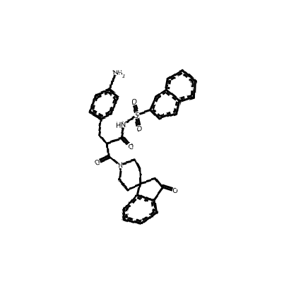 Nc1ccc(CC(C(=O)NS(=O)(=O)c2ccc3ccccc3c2)C(=O)N2CCC3(CC2)CC(=O)c2ccccc23)cc1